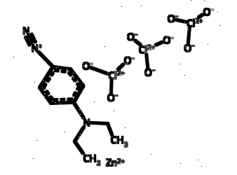 CCN(CC)c1ccc([N+]#N)cc1.[O-][Cl+2]([O-])[O-].[O-][Cl+2]([O-])[O-].[O-][Cl+2]([O-])[O-].[Zn+2]